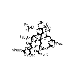 CCCCCCCCCCC[C@H](CC(=O)N[C@H]1[C@@H](OC[C@H](NC(=O)C[C@@H](CCCCCCCCCCC)OC(=O)CCCCC)C(=O)O)O[C@H](CO)[C@@H](OP(=O)(O)O)[C@@H]1OC(=O)C[C@@H](CCCCCCCCCCC)OC(=O)CCCCCCCCC)OC(=O)CCCCC.CCN(CC)CC